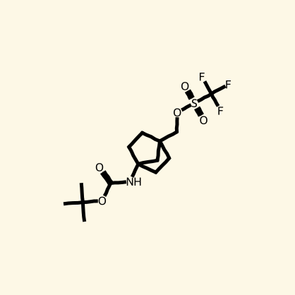 CC(C)(C)OC(=O)NC12CCC(COS(=O)(=O)C(F)(F)F)(CC1)C2